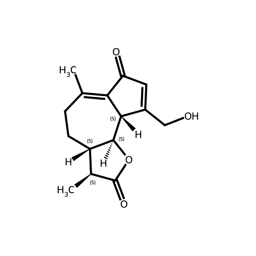 CC1=C2C(=O)C=C(CO)[C@@H]2[C@H]2OC(=O)[C@@H](C)[C@@H]2CC1